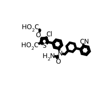 N#Cc1ccccc1C1CCCC(CN(C(N)=O)c2cccc(-c3sc(C(=O)O)c(OCC(=O)O)c3Cl)c2)C1